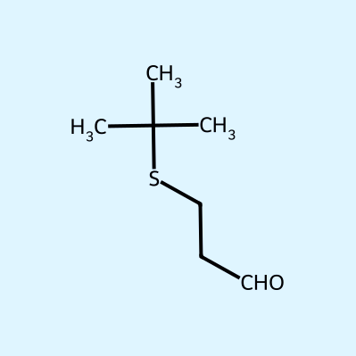 CC(C)(C)SCCC=O